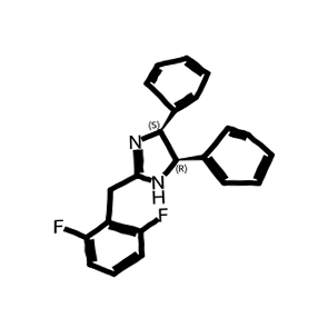 Fc1cccc(F)c1CC1=N[C@@H](c2ccccc2)[C@@H](c2ccccc2)N1